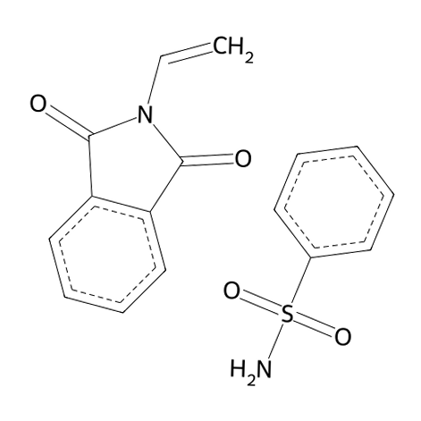 C=CN1C(=O)c2ccccc2C1=O.NS(=O)(=O)c1ccccc1